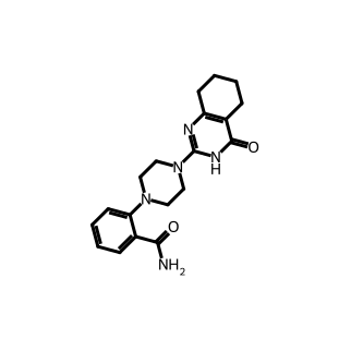 NC(=O)c1ccccc1N1CCN(c2nc3c(c(=O)[nH]2)CCCC3)CC1